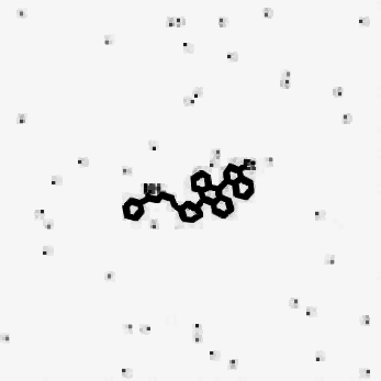 CCc1ccc(-c2c3ccccc3c(C3=CC(C/C=C\C=C(/N)c4ccccc4)=CCC3)c3ccccc23)c2ccccc12